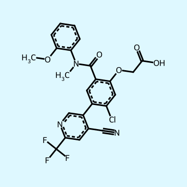 COc1ccccc1N(C)C(=O)c1cc(-c2cnc(C(F)(F)F)cc2C#N)c(Cl)cc1OCC(=O)O